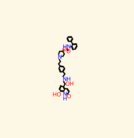 O=C(Nc1ccccc1-c1ccccc1)OC1CCN(CCCc2ccc(CCNCC(O)c3ccc(O)c4[nH]c(=O)ccc34)cc2)CC1